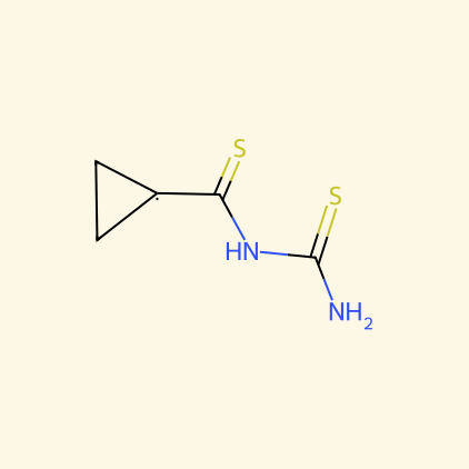 NC(=S)NC(=S)[C]1CC1